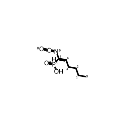 CCCCC=C(N=C=O)[PH](=O)O